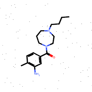 CCCCN1CCCN(C(=O)c2ccc(C)c(N)c2)CC1